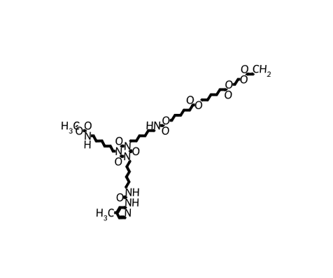 C=CC(=O)OCCOC(=O)CCCCCOC(=O)CCCCCOC(=O)NCCCCCCn1c(=O)n(CCCCCCNC(=O)Nc2cc(C)ccn2)c(=O)n(CCCCCCNC(=O)OC)c1=O